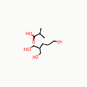 CC(C)C(=O)O.OCCCC(CO)CO